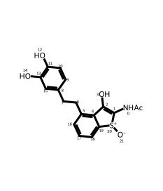 CC(=O)Nc1c(O)c2c(CCc3ccc(O)c(O)c3)cccc2[s+]1[O-]